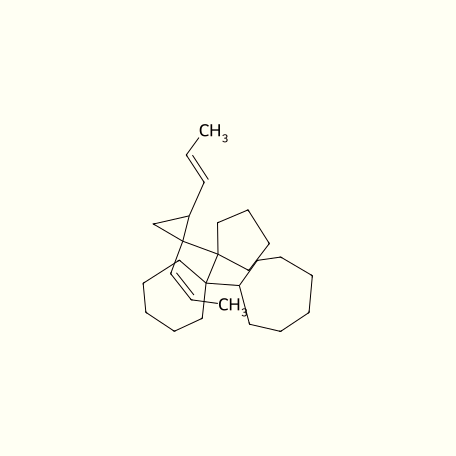 CC=CC1CC1(C=CC)C1(C2(C3CCCCCC3)CCCCC2)CCCC1